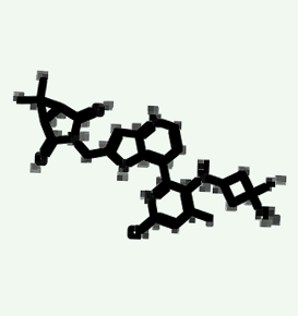 Cc1cc(Cl)nc(-c2ccnc3cc(CN4C(=O)C5C(C4=O)C5(C)C)sc23)c1NC1CC(F)(P)C1